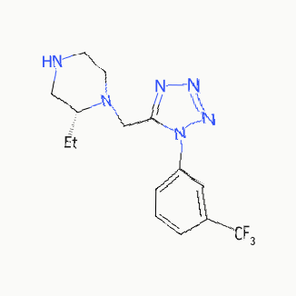 CC[C@@H]1CNCCN1Cc1nnnn1-c1cccc(C(F)(F)F)c1